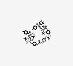 Cc1ccc(S(=O)(=O)N2CSC(C)(C)[C@H]2C(=O)N[C@@H](Cc2ccc(OC(=O)ON3CCN(OC(=O)Oc4ccc(C[C@H](NC(=O)[C@H]5N(S(=O)(=O)c6ccc(C)cc6)CSC5(C)C)C(=O)OC(C)(C)C)cc4)CC3)cc2)C(=O)OC(C)(C)C)cc1